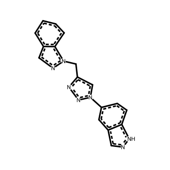 c1ccc2c(c1)cnn2Cc1cn(-c2ccc3[nH]ncc3c2)nn1